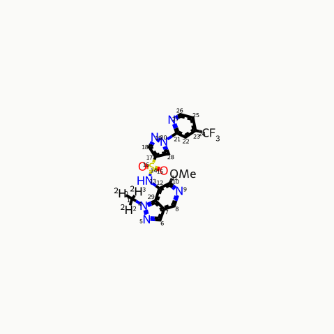 [2H]C([2H])([2H])n1ncc2cnc(OC)c(NS(=O)(=O)c3cnn(-c4cc(C(F)(F)F)ccn4)c3)c21